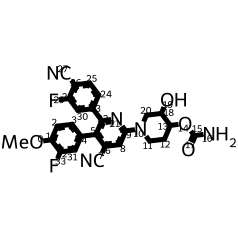 COc1ccc(-c2c(C#N)cc(N3CCC(OC(N)=O)C(O)C3)nc2-c2ccc(C#N)c(F)c2)cc1F